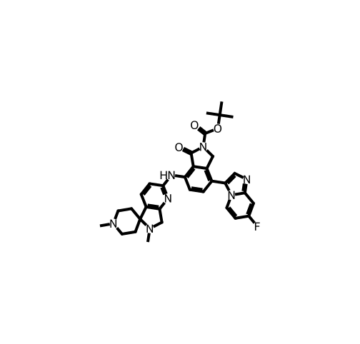 CN1CCC2(CC1)c1ccc(Nc3ccc(-c4cnc5cc(F)ccn45)c4c3C(=O)N(C(=O)OC(C)(C)C)C4)nc1CN2C